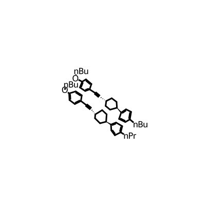 CCCCOc1ccc(C#C[C@H]2CC[C@H](c3ccc(CCC)cc3)CC2)cc1.CCCCOc1ccc(C#C[C@H]2CC[C@H](c3ccc(CCCC)cc3)CC2)cc1